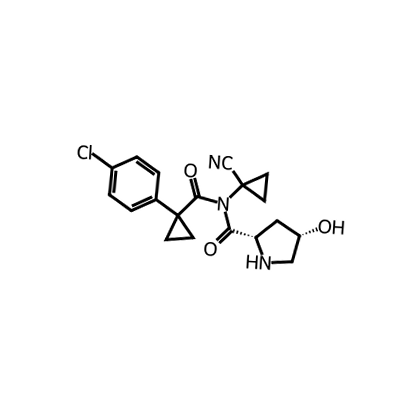 N#CC1(N(C(=O)[C@@H]2C[C@H](O)CN2)C(=O)C2(c3ccc(Cl)cc3)CC2)CC1